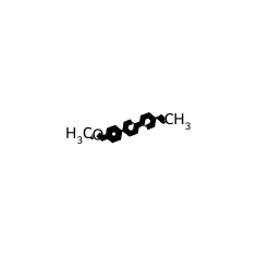 CC=C[C@H]1CC[C@H]([C@H]2CC[C@H](c3ccc(COCC)cc3)CC2)CC1